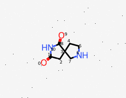 O=C1CC2(CCNC2)C(=O)N1